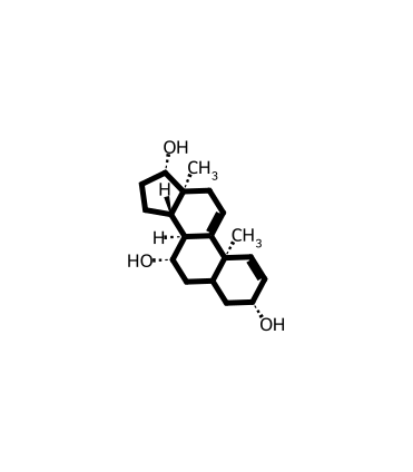 C[C@]12CC=C3[C@@H]([C@@H](O)CC4C[C@@H](O)C=C[C@]34C)[C@@H]1CC[C@@H]2O